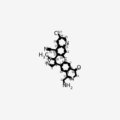 Cn1ncc(-c2ccc3c(c2)C(CN)=NCC3=O)c1-c1c(F)cc2ncc(Cl)cc2c1C#N